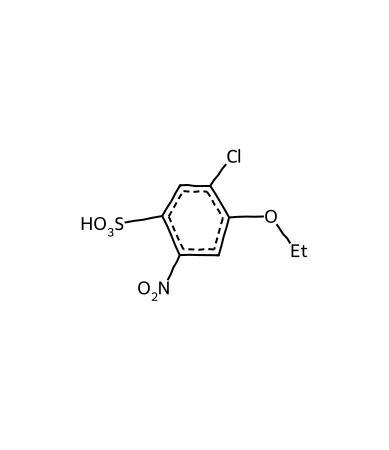 CCOc1cc([N+](=O)[O-])c(S(=O)(=O)O)cc1Cl